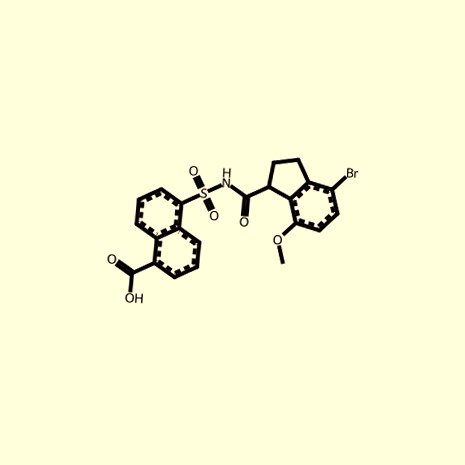 COc1ccc(Br)c2c1C(C(=O)NS(=O)(=O)c1cccc3c(C(=O)O)cccc13)CC2